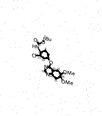 CCCCOC(=O)Nc1ccc(Oc2ncnc3cc(OC)c(OC)cc23)cc1Cl